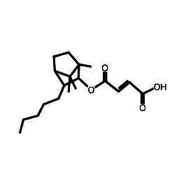 CCCCCC1C2CCC(C)(C1OC(=O)C=CC(=O)O)C2(C)C